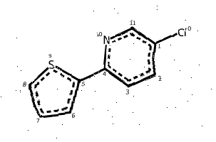 Clc1ccc(-c2cc[c]s2)nc1